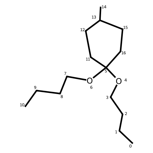 CCCCOC1(OCCCC)CCC(C)CC1